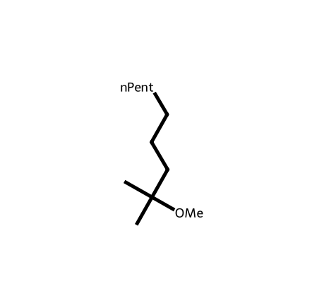 CCCCCCCCC(C)(C)OC